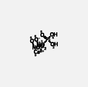 O=P(O)(O)O.O=[N+]([O-])[O-].O=[N+]([O-])[O-].[Ca+2]